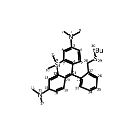 CN(C)c1ccc2c(c1)[Si](C)(C)C1=CC(N(C)C)C=CC1=C2c1ccccc1CSC(C)(C)C